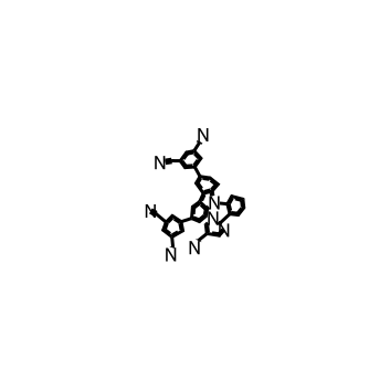 N#Cc1cnc(-c2ccccc2-n2c3ccc(-c4cc(C#N)cc(C#N)c4)cc3c3cc(-c4cc(C#N)cc(C#N)c4)ccc32)nc1